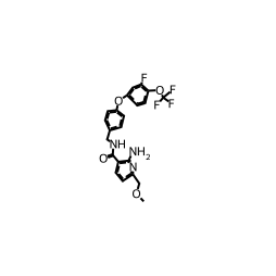 COCc1ccc(C(=O)NCc2ccc(Oc3ccc(OC(F)(F)F)c(F)c3)cc2)c(N)n1